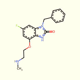 CNCCOc1cc(F)cc2c1[nH]c(=O)n2Cc1ccccc1